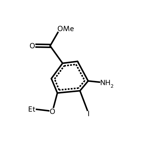 CCOc1cc(C(=O)OC)cc(N)c1I